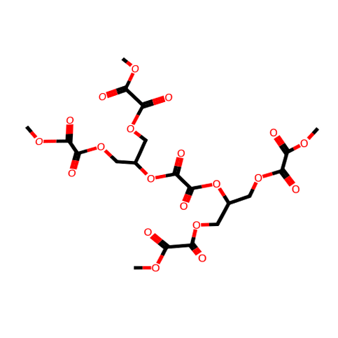 COC(=O)C(=O)OCC(COC(=O)C(=O)OC)OC(=O)C(=O)OC(COC(=O)C(=O)OC)COC(=O)C(=O)OC